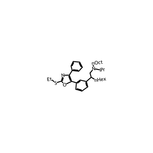 CCCCCCCCN(CC(CCCCCC)c1cccc(-c2oc(SCC)nc2-c2ccccc2)c1)C(C)C